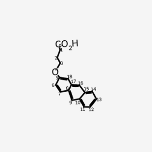 O=C(O)CCCOc1ccc2cc3ccccc3cc2c1